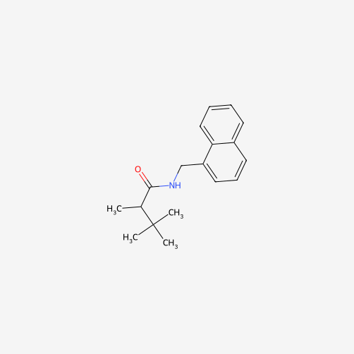 CC(C(=O)NCc1cccc2ccccc12)C(C)(C)C